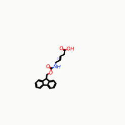 O=C(O)C/C=C/CNC(=O)OCC1c2ccccc2-c2ccccc21